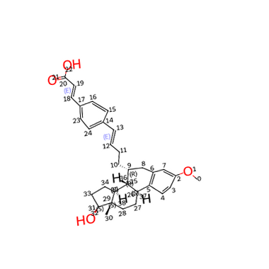 COc1ccc2c(c1)C[C@@H](CC/C=C/c1ccc(/C=C/C(=O)O)cc1)[C@@H]1[C@@H]2CC[C@]2(C)[C@@H](O)CC[C@@H]12